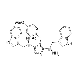 COc1ccc(Cn2c([C@H](N)Cc3c[nH]c4ccccc34)nnc2[C@@H](Cc2c[nH]c3ccccc23)NC(C)=O)cc1